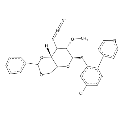 CO[C@H]1C(N=[N+]=[N-])[C@H]2OC(c3ccccc3)OCC2O[C@@H]1Sc1cc(Cl)cnc1-c1ccncc1